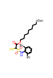 CCCCCCCCCCCCCCCCCCOC(=O)C(S)S(=O)(=O)Nc1c(C(C)C)cccc1C(C)C